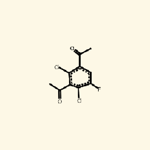 CC(=O)c1cc(F)c(Cl)c(C(C)=O)c1Cl